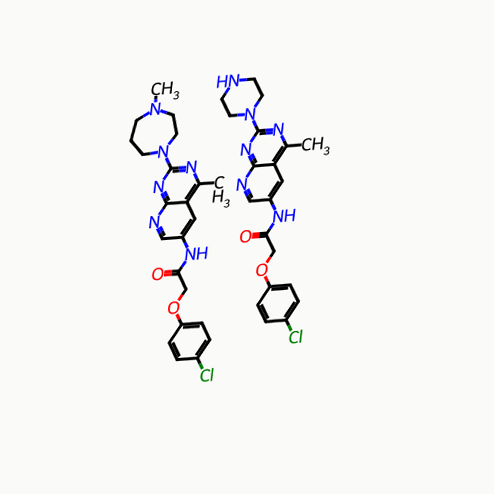 Cc1nc(N2CCCN(C)CC2)nc2ncc(NC(=O)COc3ccc(Cl)cc3)cc12.Cc1nc(N2CCNCC2)nc2ncc(NC(=O)COc3ccc(Cl)cc3)cc12